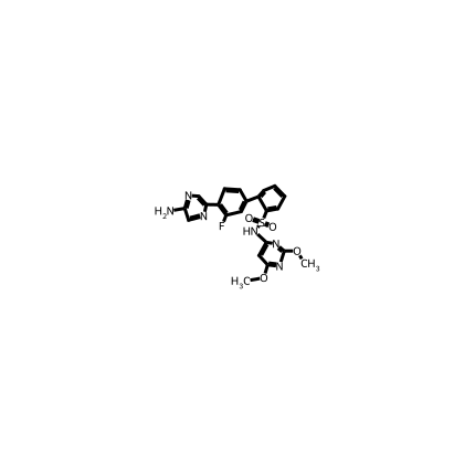 COc1cc(NS(=O)(=O)c2ccccc2-c2ccc(-c3cnc(N)cn3)c(F)c2)nc(OC)n1